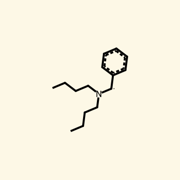 CCCCN([CH]c1ccccc1)CCCC